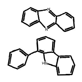 c1ccc(-c2cccc3c2[nH]c2ccccc23)cc1.c1ccc2nc3ccccc3nc2c1